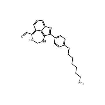 NCCCCCCOc1ccc(C2=Nc3cccc4c3=C2NCNC=4C=O)cc1